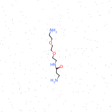 NCCOCCOCCNC(=O)CCN